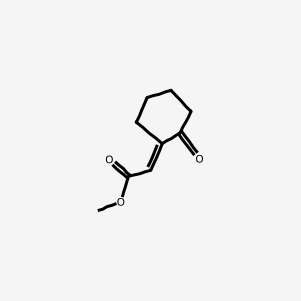 COC(=O)/C=C1\CCCCC1=O